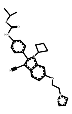 CC(C)OC(=O)Nc1ccc(-c2c(C#N)c3ccc(OCCn4cccn4)cc3n2C2CCC2)cc1